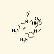 CCN(CCNS(C)(=O)=O)c1ccc(N)c(C)c1.CCN(CCOC)c1ccc(N)c(C)c1